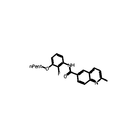 CCCCCOc1cccc(NC(=O)c2ccc3nc(C)ccc3c2)c1F